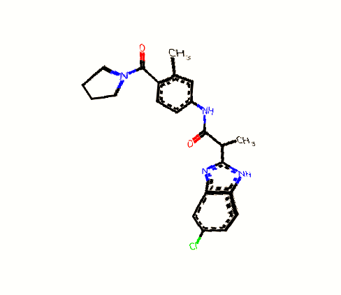 Cc1cc(NC(=O)C(C)c2nc3cc(Cl)ccc3[nH]2)ccc1C(=O)N1CCCC1